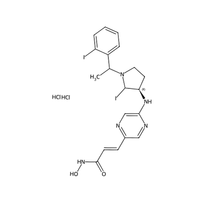 CC(c1ccccc1I)N1CC[C@@H](Nc2cnc(C=CC(=O)NO)cn2)C1I.Cl.Cl